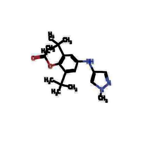 CC(=O)Oc1c(C(C)(C)C)cc(Nc2cnn(C)c2)cc1C(C)(C)C